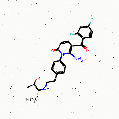 C[C@@H](O)[C@H](NCCc1ccc(-n2c(N)c(C(=O)c3ccc(F)cc3F)ccc2=O)cc1)C(=O)O